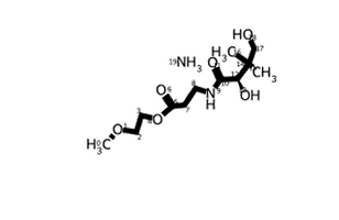 COCCOC(=O)CCNC(=O)[C@H](O)C(C)(C)CO.N